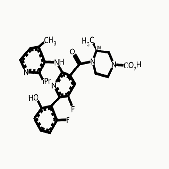 Cc1ccnc(C(C)C)c1Nc1nc(-c2c(O)cccc2F)c(F)cc1C(=O)N1CCN(C(=O)O)C[C@@H]1C